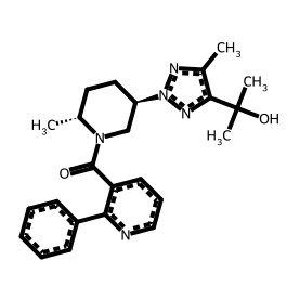 Cc1nn([C@@H]2CC[C@@H](C)N(C(=O)c3cccnc3-c3ccccc3)C2)nc1C(C)(C)O